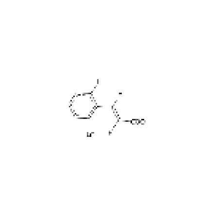 O=C([O-])C(F)=C(F)c1ccccc1F.[Li+]